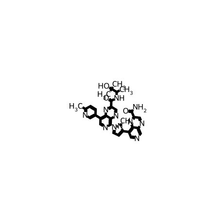 Cc1ccc(-c2cncc3ncc(C(=O)NC(C)C(C)(C)O)nc23)cn1.Cn1nccc1-c1cncc2ncc(C(N)=O)nc12